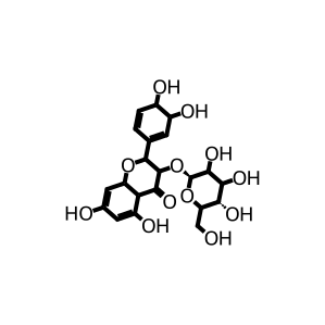 O=C1C(O[C@@H]2OC(CO)[C@@H](O)C(O)C2O)C(C2=CC(O)C(O)C=C2)OC2C=C(O)C=C(O)C12